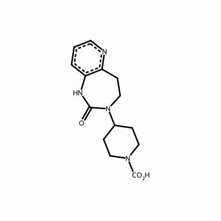 O=C(O)N1CCC(N2CCc3ncccc3NC2=O)CC1